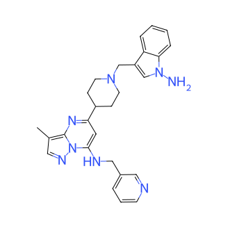 Cc1cnn2c(NCc3cccnc3)cc(C3CCN(Cc4cn(N)c5ccccc45)CC3)nc12